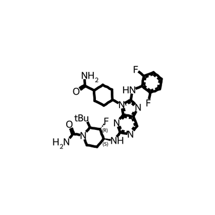 CC(C)(C)C1[C@H](F)[C@@H](Nc2ncc3nc(Nc4c(F)cccc4F)n(C4CCC(C(N)=O)CC4)c3n2)CCN1C(N)=O